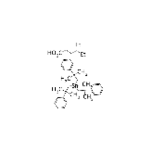 CC(C)([CH2][Sn]([CH2]C(C)(C)c1ccccc1)[CH2]C(C)(C)c1ccccc1)c1ccccc1.CCC(CC)CCC(=O)O